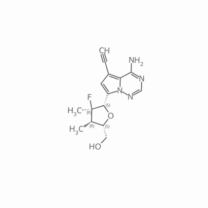 C#Cc1cc([C@@H]2O[C@H](CO)[C@@H](C)[C@@]2(C)F)n2ncnc(N)c12